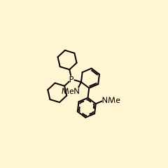 CNc1ccccc1C1=CC=CCC1(NC)P(C1CCCCC1)C1CCCCC1